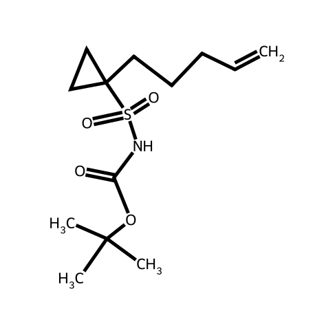 C=CCCCC1(S(=O)(=O)NC(=O)OC(C)(C)C)CC1